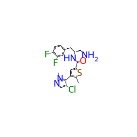 Cc1sc(C(=O)N[C@H](CN)Cc2ccc(F)c(F)c2)cc1-c1c(Cl)cnn1C